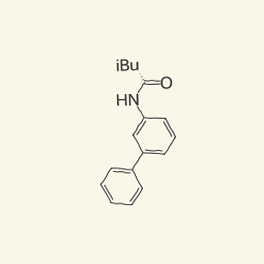 CC[C@@H](C)C(=O)Nc1cccc(-c2ccccc2)c1